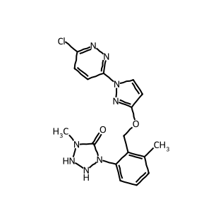 Cc1cccc(N2NNN(C)C2=O)c1COc1ccn(-c2ccc(Cl)nn2)n1